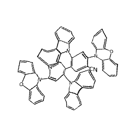 N#Cc1cc(-c2cnc(N3c4ccccc4Oc4ccccc43)cc2-n2c3ccccc3c3ccccc32)c(-n2c3ccccc3c3ccccc32)cc1N1c2ccccc2Oc2ccccc21